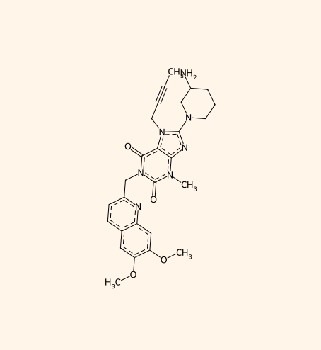 CC#CCn1c(N2CCCC(N)C2)nc2c1c(=O)n(Cc1ccc3cc(OC)c(OC)cc3n1)c(=O)n2C